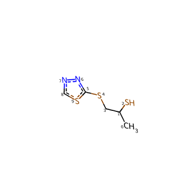 CC(S)CSc1nncs1